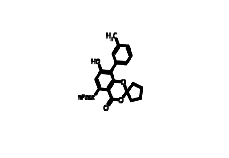 CCCCCc1cc(O)c(-c2cccc(C)c2)c2c1C(=O)OC1(CCCC1)O2